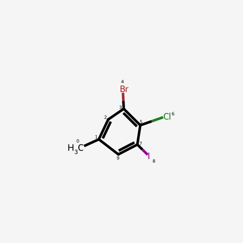 Cc1cc(Br)c(Cl)c(I)c1